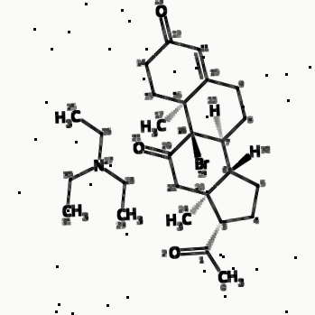 CC(=O)[C@H]1CC[C@H]2[C@@H]3CCC4=CC(=O)CC[C@]4(C)[C@@]3(Br)C(=O)C[C@]12C.CCN(CC)CC